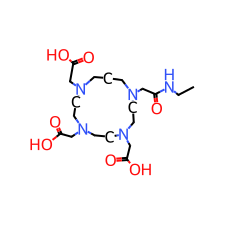 CCNC(=O)CN1CCCN(CC(=O)O)CCN(CC(=O)O)CCN(CC(=O)O)CC1